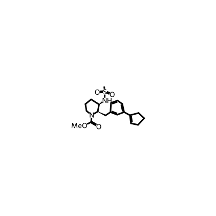 COC(=O)N1CCC[C@@H](NS(C)(=O)=O)[C@H]1Cc1cccc(C2=CCCC2)c1